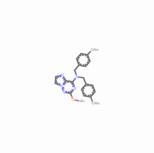 CCCCOc1nc(N(Cc2ccc(OC)cc2)Cc2ccc(OC)cc2)c2nc[c]n2n1